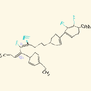 C=C/C=C(\C(F)=C(\F)CCCC1CC=C(C2=CCC(OC)C(F)=C2F)CC1)C1C=CC(C=C)=CC1